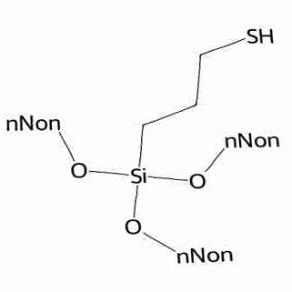 CCCCCCCCCO[Si](CCCS)(OCCCCCCCCC)OCCCCCCCCC